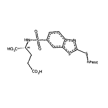 CCCCCSc1nc2ccc(S(=O)(=O)N[C@H](CCC(=O)O)C(=O)O)cc2s1